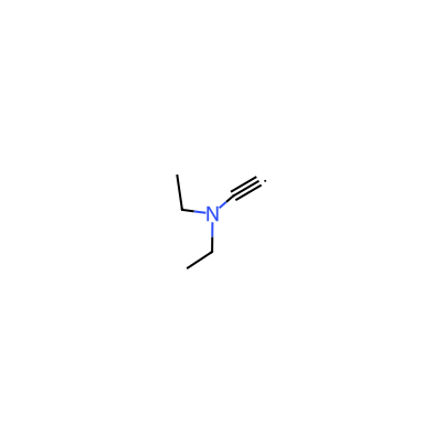 [C]#CN(CC)CC